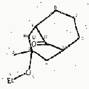 CCOC1(C)CC2CCCC(C1)C2=O